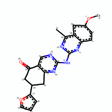 CCOc1ccc2nc(Nc3ncc4c(n3)CC(c3ccco3)CC4=O)nc(C)c2c1